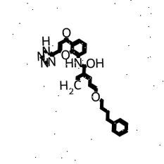 C=C/C(=C\C=C\OCCCCc1ccccc1)C(O)Nc1cccc2c(=O)cc(-c3nnn[nH]3)oc12